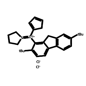 CC(C)(C)c1ccc2c(c1)Cc1c-2ccc(C(C)(C)C)[c]1[Zr+2]([C]1=CC=CC1)=[Si]1CCCC1.[Cl-].[Cl-]